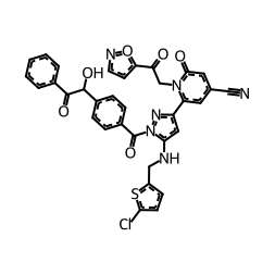 N#Cc1cc(-c2cc(NCc3ccc(Cl)s3)n(C(=O)c3ccc(C(O)C(=O)c4ccccc4)cc3)n2)n(CC(=O)c2ccno2)c(=O)c1